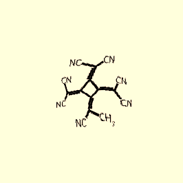 CC(C#N)=C1C(=C(C#N)C#N)C(=C(C#N)C#N)C1=C(C#N)C#N